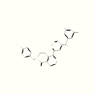 COc1ccc(CN2CCc3c(ccnc3-c3cc(C(C)c4cc(F)cc(C(F)(F)F)c4)cnn3)C2=O)cc1